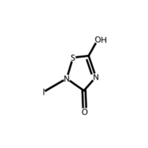 O=c1nc(O)sn1I